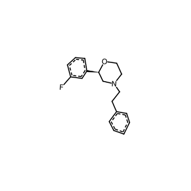 Fc1cccc([C@@H]2CN(CCc3ccccc3)CCO2)c1